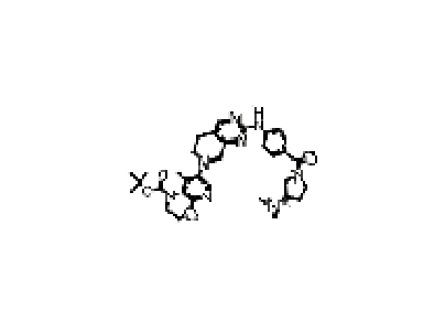 Cc1c(N2CCc3cnc(Nc4ccc(C(=O)N5CC[C@@H](N(C)C)C5)cc4)nc3C2)cnc2c1N(C(=O)OC(C)(C)C)CCO2